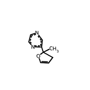 CC1(c2cnccn2)CC=CO1